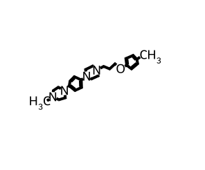 Cc1ccc(OCCCN2CCN(c3ccc(N4CCN(C)CC4)cc3)CC2)cc1